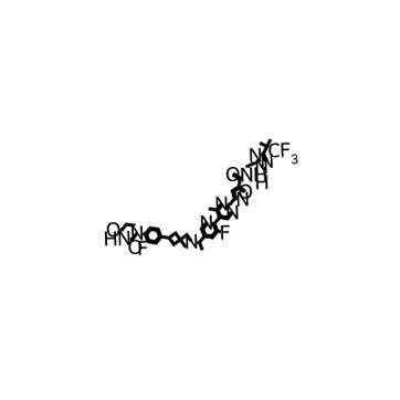 Cc1nc(-c2cc(C(=O)NCc3nc(C(C)(C)C(F)(F)F)n[nH]3)on2)ncc1-c1ncc(C(C)N2CC3(CC(c4ccc(N5CCC(=O)NC5=O)c(F)c4)C3)C2)cc1F